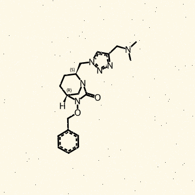 CN(C)Cc1cn(C[C@@H]2CC[C@@H]3CN2C(=O)N3OCc2ccccc2)nn1